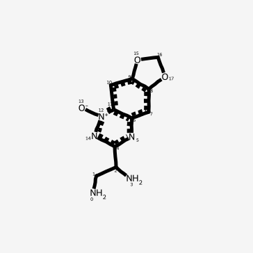 NCC(N)c1nc2cc3c(cc2[n+]([O-])n1)OCO3